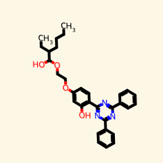 CCCCC(CC)C(O)OCCOc1ccc(-c2nc(-c3ccccc3)nc(-c3ccccc3)n2)c(O)c1